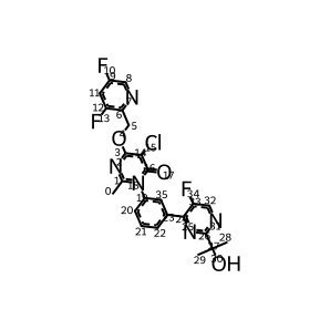 Cc1nc(OCc2ncc(F)cc2F)c(Cl)c(=O)n1-c1cccc(-c2nc(C(C)(C)O)ncc2F)c1